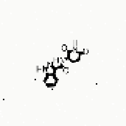 O=C1CCC(NC(=O)c2n[nH]c3ccccc23)C(=O)N1